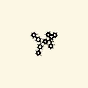 c1ccc(-c2oc3c4ccccc4c4ccccc4c3c2-c2ccc(N(C3CCC(c4ccccc4)CC3)C3CCC(c4ccccc4)CC3)cc2)cc1